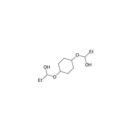 CCC(O)OC1CCC(OC(O)CC)CC1